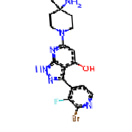 CC1(N)CCN(c2cc(O)c3c(-c4ccnc(Br)c4F)n[nH]c3n2)CC1